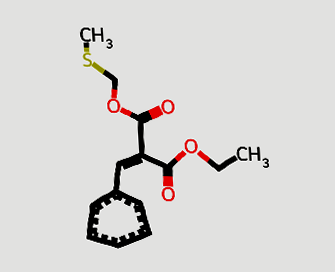 CCOC(=O)/C(=C\c1ccccc1)C(=O)OCSC